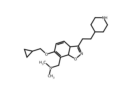 CN(C)CC1=C(OCC2CC2)C=CC2C(CCC3CCNCC3)=NOC12